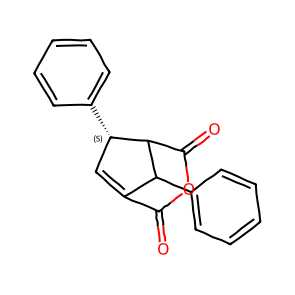 O=C1OC(=O)C2C(c3ccccc3)C1=C[C@@H]2c1ccccc1